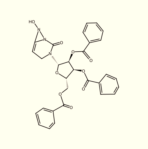 O=C(OC[C@@H]1O[C@H](N2CC=C3N(O)N3C2=O)[C@@H](OC(=O)c2ccccc2)[C@H]1OC(=O)c1ccccc1)c1ccccc1